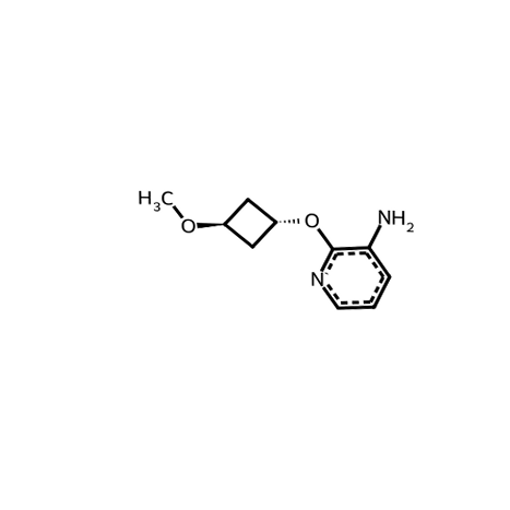 CO[C@H]1C[C@H](Oc2ncccc2N)C1